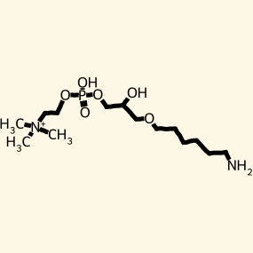 C[N+](C)(C)CCOP(=O)(O)OCC(O)COCCCCCCN